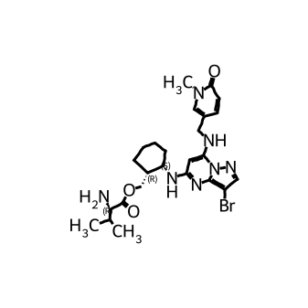 CC(C)[C@@H](N)C(=O)OC[C@@H]1CCCC[C@@H]1Nc1cc(NCc2ccc(=O)n(C)c2)n2ncc(Br)c2n1